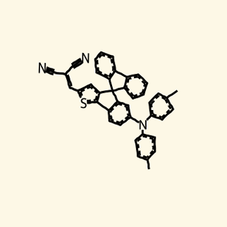 Cc1ccc(N(c2ccc(C)cc2)c2ccc3c(c2)C2(c4ccccc4-c4ccccc42)c2cc(C=C(C#N)C#N)sc2-3)cc1